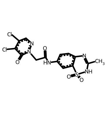 CC1=Nc2ccc(NC(=O)Cn3ncc(Cl)c(Cl)c3=O)cc2S(=O)(=O)N1